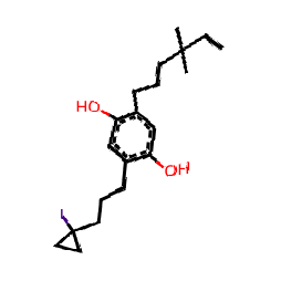 CCC(C)(C)CCCc1cc(O)c(CCCC2(I)CC2)cc1O